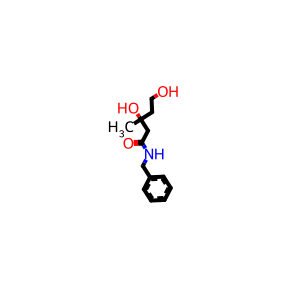 CC(O)(CCO)CC(=O)NCc1ccccc1